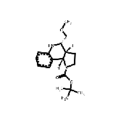 COC[C@H]1Nc2ccccc2[C@@H]2[C@H]1CCN2C(=O)OC(C)(C)C